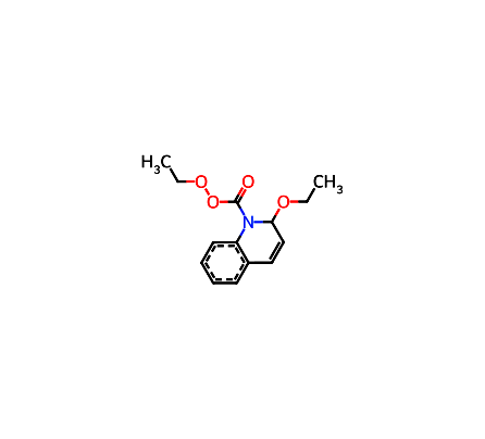 CCOOC(=O)N1c2ccccc2C=CC1OCC